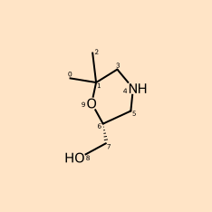 CC1(C)CNC[C@H](CO)O1